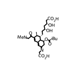 CC[C@H](C)C(=O)O[C@H]1CC(=NCC(=O)O)C=C2C=C(C(=O)CNC)[C@@H](C)[C@H](CC[C@@H](O)C[C@@H](O)CC(=O)O)C21